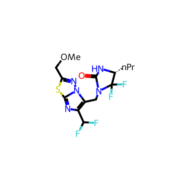 CCC[C@H]1NC(=O)N(Cc2c(C(F)F)nc3sc(COC)nn23)C1(F)F